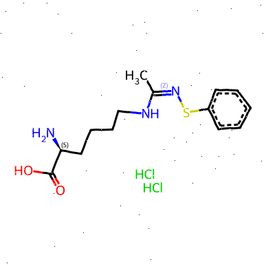 C/C(=N/Sc1ccccc1)NCCCC[C@H](N)C(=O)O.Cl.Cl